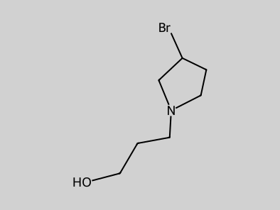 OCCCN1CCC(Br)C1